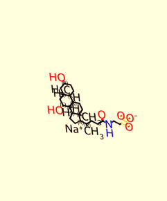 C[C@H](CCC(=O)NCCS(=O)(=O)[O-])[C@H]1CC[C@H]2[C@H]3[C@@H](CC[C@]12C)[C@@]1(C)CC[C@@H](O)C[C@H]1C[C@@H]3O.[Na+]